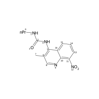 CCCNC(=O)Nc1c(C)cnc2c([N+](=O)[O-])cccc12